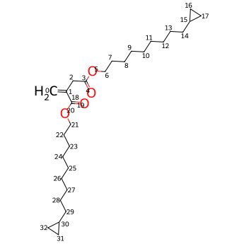 C=C(CC(=O)OCCCCCCCCCC1CC1)C(=O)OCCCCCCCCCC1CC1